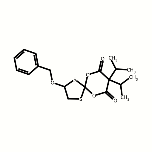 CC(C)C1(C(C)C)C(=O)OC2(OC1=O)SCC(OCc1ccccc1)S2